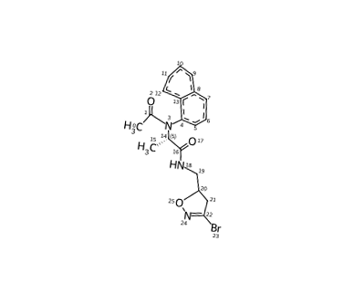 CC(=O)N(c1cccc2ccccc12)[C@@H](C)C(=O)NCC1CC(Br)=NO1